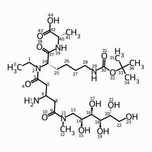 CCN(C(=O)CC(N)CC(=O)N(C)C[C@H](O)[C@@H](O)[C@H](O)[C@H](O)CO)[C@@H](CCCCNC(=O)OC(C)(C)C)C(=O)N[C@@H](C)C(=O)O